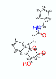 O=C(CCCC1(c2ccccc2)CC(O)=CC(=O)O1)NCc1ccccc1